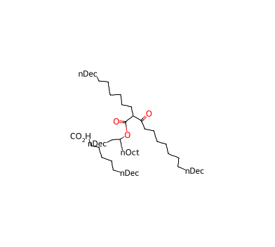 CCCCCCCCCCCCCCCC(=O)O.CCCCCCCCCCCCCCCCCC(=O)C(CCCCCCCCCCCCCCCC)C(=O)OC(CCCCCCCC)CCCCCCCCCCC